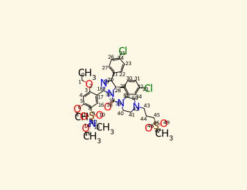 CCOc1cc(OC)c(S(=O)(=O)N(C)OC)cc1C1=N[C@@H](c2ccc(Cl)cc2)[C@@H](c2ccc(Cl)cc2)N1C(=O)N1CCN(CCCS(C)(=O)=O)CC1